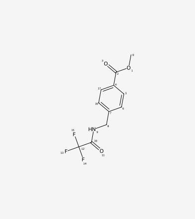 COC(=O)c1ccc(CNC(=O)C(F)(F)F)cc1